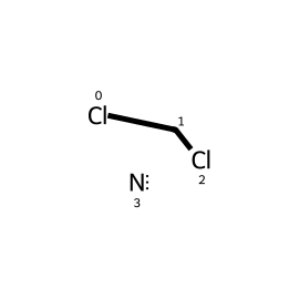 ClCCl.[N]